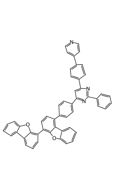 c1ccc(-c2nc(-c3ccc(-c4ccncc4)cc3)cc(-c3ccc(-c4ccc(-c5cccc6c5oc5ccccc56)c5oc6ccccc6c45)cc3)n2)cc1